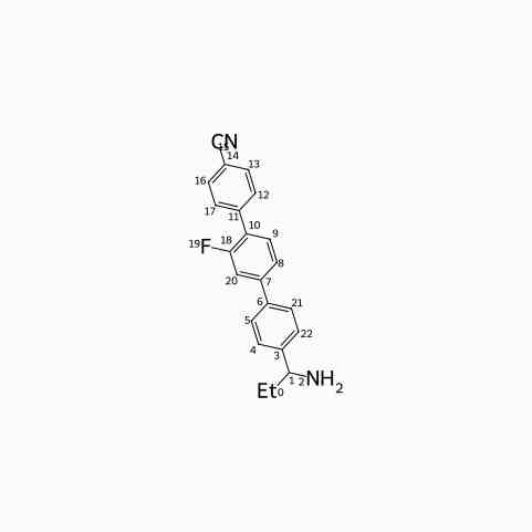 CCC(N)c1ccc(-c2ccc(-c3ccc(C#N)cc3)c(F)c2)cc1